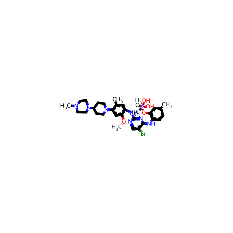 COc1cc(N2CCC(N3CCN(C)CC3)CC2)c(C)cc1Nc1ncc(Br)c(Nc2ccc(C)cc2OP(C)(C)(O)O)n1